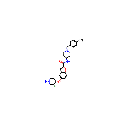 N#Cc1ccc(CN2CCC(NC(=O)c3cc4cc(O[C@H]5CCNC[C@@H]5F)ccc4o3)CC2)cc1